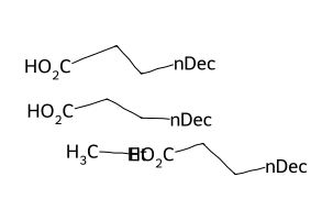 CCC.CCCCCCCCCCCCC(=O)O.CCCCCCCCCCCCC(=O)O.CCCCCCCCCCCCC(=O)O